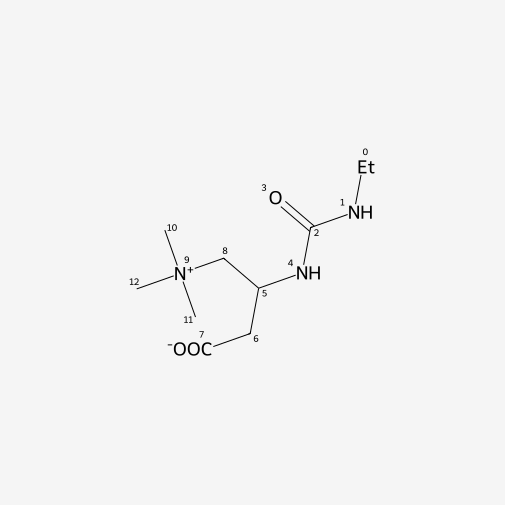 CCNC(=O)NC(CC(=O)[O-])C[N+](C)(C)C